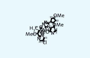 COc1ncnc(OC)c1-n1c(NS(=O)(=O)[C@@H](C)[C@H](OC)c2ncc(Cl)cn2)nnc1[C@@H]1CC[C@H](OC)C1